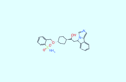 NS(=O)(=O)c1ccccc1CO[C@H]1CC[C@H](C(O)CC2c3ccccc3-c3cncn32)CC1